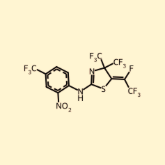 O=[N+]([O-])c1cc(C(F)(F)F)ccc1NC1=NC(C(F)(F)F)(C(F)(F)F)/C(=C(\F)C(F)(F)F)S1